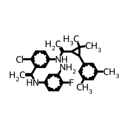 C=C(Nc1ccc(F)c(N)c1)c1cc(NC(=C)C2C(c3cc(C)cc(C)c3)C2(C)C)ccc1Cl